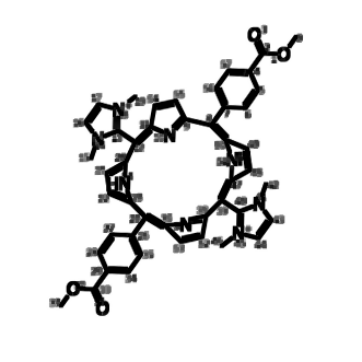 COC(=O)c1ccc(-c2c3nc(c(-c4n(C)cc[n+]4C)c4ccc([nH]4)c(-c4ccc(C(=O)OC)cc4)c4nc(c(-c5n(C)cc[n+]5C)c5ccc2[nH]5)C=C4)C=C3)cc1